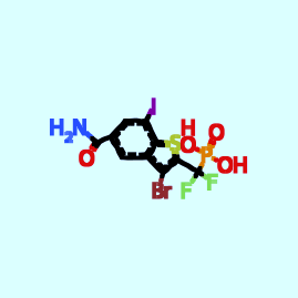 NC(=O)c1cc(I)c2sc(C(F)(F)P(=O)(O)O)c(Br)c2c1